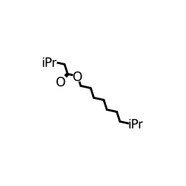 CC(C)CCCCCCCOC(=O)CC(C)C